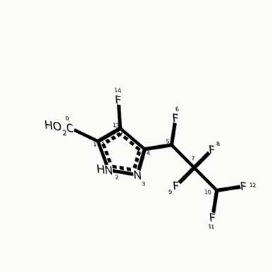 O=C(O)c1[nH]nc(C(F)C(F)(F)C(F)F)c1F